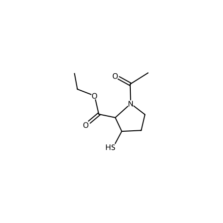 CCOC(=O)C1C(S)CCN1C(C)=O